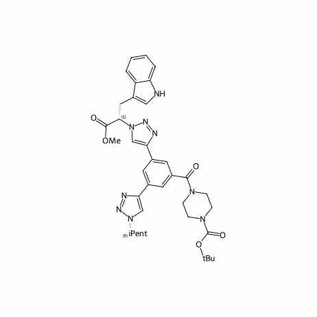 CCC[C@@H](C)n1cc(-c2cc(C(=O)N3CCN(C(=O)OC(C)(C)C)CC3)cc(-c3cn([C@@H](Cc4c[nH]c5ccccc45)C(=O)OC)nn3)c2)nn1